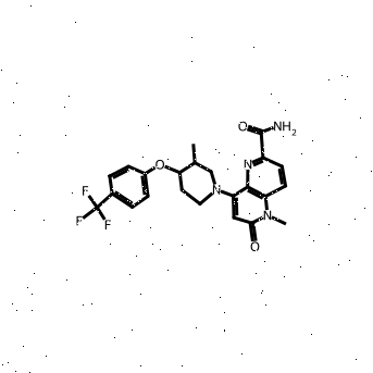 CC1CN(c2cc(=O)n(C)c3ccc(C(N)=O)nc23)CCC1Oc1ccc(C(F)(F)F)cc1